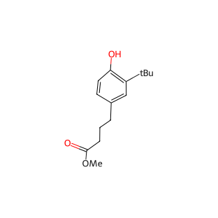 COC(=O)CCCc1ccc(O)c(C(C)(C)C)c1